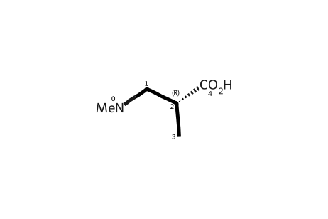 CNC[C@@H](C)C(=O)O